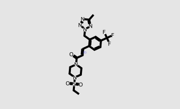 CCS(=O)(=O)N1CCN(C(=O)/C=C/c2ccc(C(F)(F)F)cc2Cn2nnc(C)n2)CC1